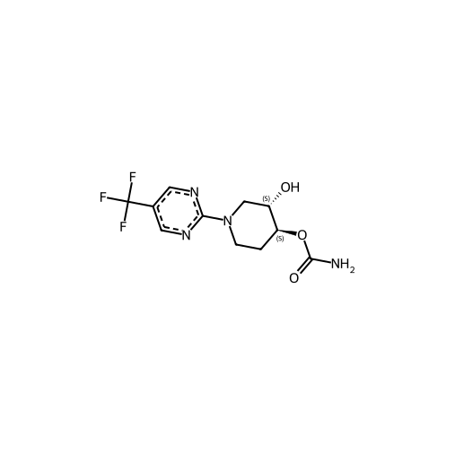 NC(=O)O[C@H]1CCN(c2ncc(C(F)(F)F)cn2)C[C@@H]1O